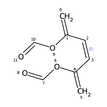 C=C(/C=C\C(=C)OC=O)OC=O